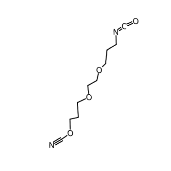 N#COCCCOCCOCCCN=C=O